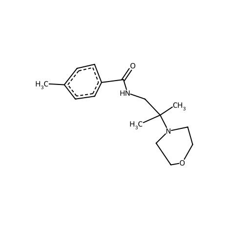 Cc1ccc(C(=O)NCC(C)(C)N2CCOCC2)cc1